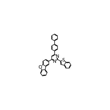 c1ccc(-c2ccc(-c3cc(-c4ccc5oc6ccccc6c5c4)nc(-c4cc5ccccc5s4)n3)cc2)cc1